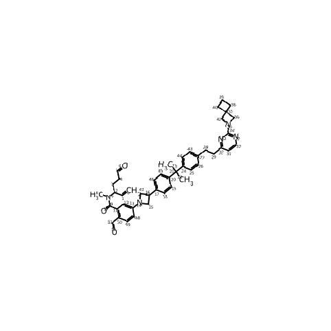 C=CC(CCC=O)N(C)C(=O)c1cc(N2CC(c3ccc(C(C)(C)c4ccc(CCc5ccnc(N6CC7(CCC7)C6)n5)cc4)cc3)C2)ccc1C=O